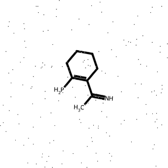 CC(=N)C1=C(P)CCCC1